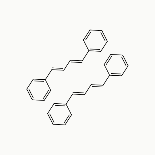 C(C=Cc1ccccc1)=Cc1ccccc1.C(C=Cc1ccccc1)=Cc1ccccc1